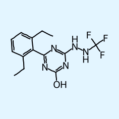 CCc1cccc(CC)c1-c1nc(O)nc(NNC(F)(F)F)n1